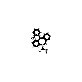 COC(=O)N1Cc2ccccc2C(c2ccccc2Cl)c2ccccc21